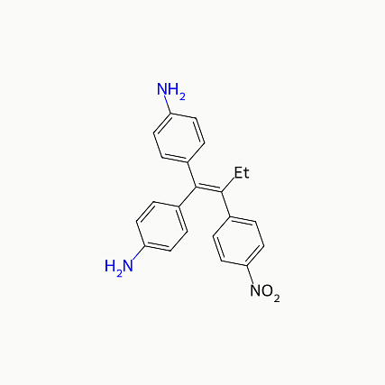 CCC(=C(c1ccc(N)cc1)c1ccc(N)cc1)c1ccc([N+](=O)[O-])cc1